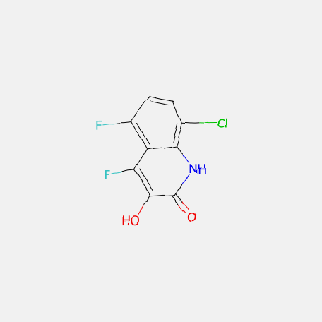 O=c1[nH]c2c(Cl)ccc(F)c2c(F)c1O